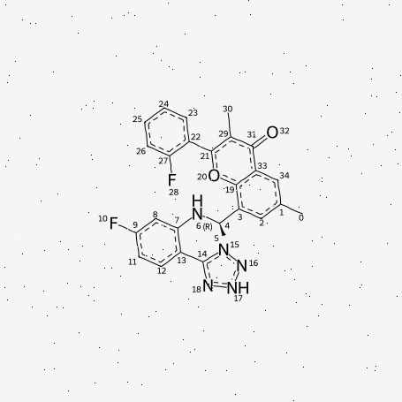 Cc1cc([C@@H](C)Nc2cc(F)ccc2-c2nn[nH]n2)c2oc(-c3ccccc3F)c(C)c(=O)c2c1